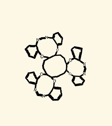 C1=Nc2ccccc2OC2CCC3Oc4ccccc4N=C=Nc4ccccc4OC3CCC3Oc4ccccc4N=C=Nc4ccccc4OC3CCC2Oc2ccccc2N=1